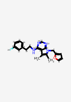 Cc1c(C)n(Cc2ccco2)c2ncnc(NCCc3cccc(F)c3)c12